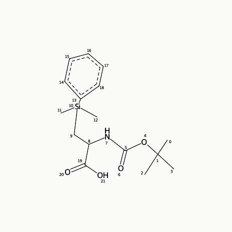 CC(C)(C)OC(=O)NC(C[Si](C)(C)c1ccccc1)C(=O)O